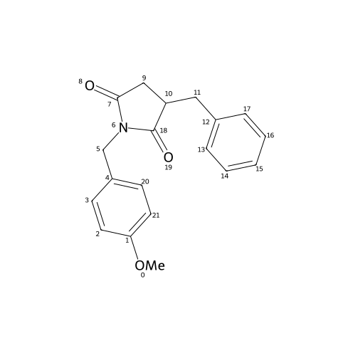 COc1ccc(CN2C(=O)CC(Cc3ccccc3)C2=O)cc1